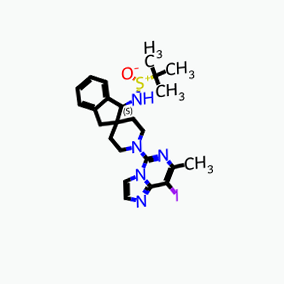 Cc1nc(N2CCC3(CC2)Cc2ccccc2[C@H]3N[S+]([O-])C(C)(C)C)n2ccnc2c1I